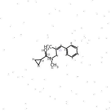 C/C(=C/c1ccccc1)CN(C)C(=O)C1CC1